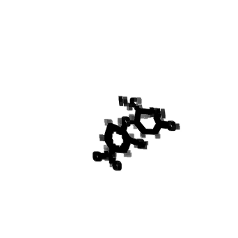 C[C@H]1NC(=O)CC[C@@H]1Oc1ccc([N+](=O)[O-])cc1Br